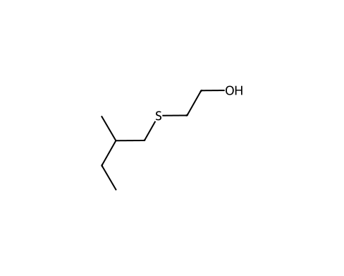 CCC(C)CSCCO